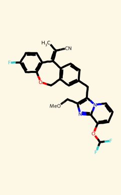 COCc1nc2c(OC(F)F)cccn2c1Cc1ccc2c(c1)COc1cc(F)ccc1/C2=C(\C)C#N